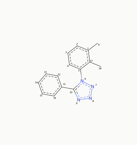 Cc1cccc(-n2nnnc2-c2ccccc2)c1C